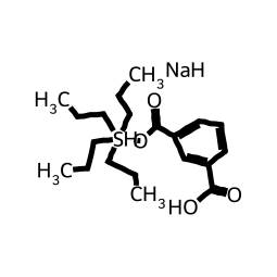 CCC[SH](CCC)(CCC)(CCC)OC(=O)c1cccc(C(=O)O)c1.[NaH]